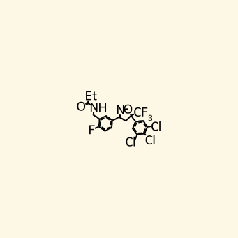 CCC(=O)NCc1cc(C2=NOC(c3cc(Cl)c(Cl)c(Cl)c3)(C(F)(F)F)C2)ccc1F